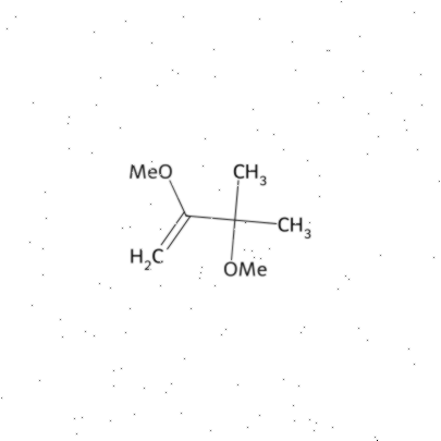 C=C(OC)C(C)(C)OC